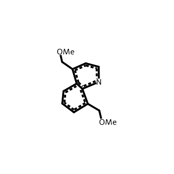 COCc1ccnc2c(COC)cccc12